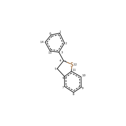 c1ccc([C]2Cc3ccccc3S2)cc1